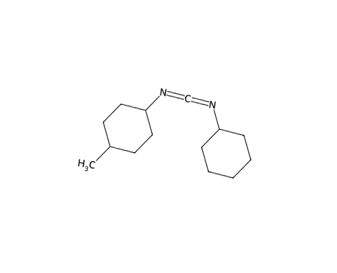 CC1CCC(N=C=NC2CCCCC2)CC1